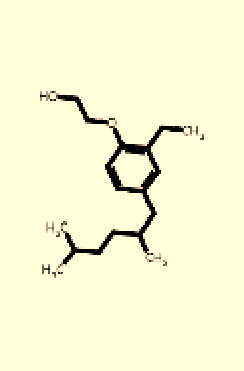 CCc1cc(CC(C)CCC(C)C)ccc1OCCO